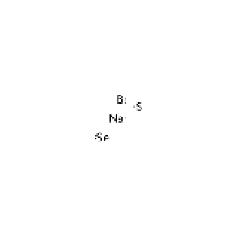 [B].[Na].[S].[Se]